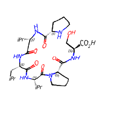 CC(C)C[C@H](NC(=O)[C@@H](NC(=O)[C@@H]1CCCN1)C(C)C)C(=O)N[C@H](C(=O)N1CCC[C@H]1C(=O)N[C@@H](CO)C(=O)O)C(C)C